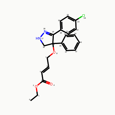 CCOC(=O)/C=C/COC1(c2ccccc2)CNN=C1c1ccc(Cl)cc1